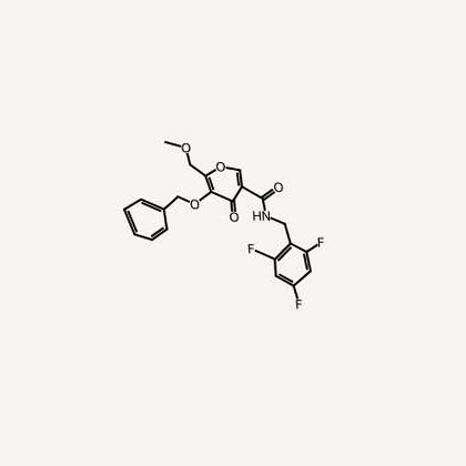 COCc1occ(C(=O)NCc2c(F)cc(F)cc2F)c(=O)c1OCc1ccccc1